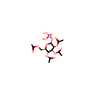 CC(=O)OC[C@H]1O[C@@H](OP(=O)(O)O)[C@@H](OC(C)=O)[C@@H](OC(C)=O)[C@@H]1OC(C)=O